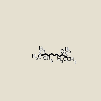 CC(C)(C)CCCCCCC(=O)C(C)(C)C